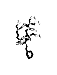 CCN(CC)CCCS(=O)(=O)N[C@H](CCc1ccccc1)c1nc(CN(C)C(=O)N(CC)CC)n(CC)n1